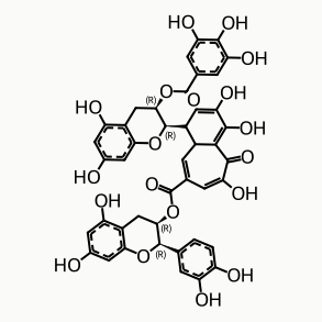 O=C(O[C@@H]1Cc2c(O)cc(O)cc2O[C@@H]1c1ccc(O)c(O)c1)C1=CC2C(=C(O)C(O)=CC2[C@H]2Oc3cc(O)cc(O)c3C[C@H]2OC(=O)c2cc(O)c(O)c(O)c2)C(=O)C(O)=C1